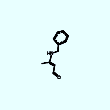 CC(=CC=O)NCc1ccccc1